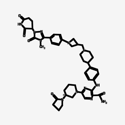 Cn1c(-c2ccc(N3CC(CN4CCC(c5ccc(Nc6nc(N7CCC[C@H](N8CCCC8=O)C7)cnc6C(N)=O)cc5)CC4)C3)cc2)nn(C2CCC(=O)NC2=O)c1=O